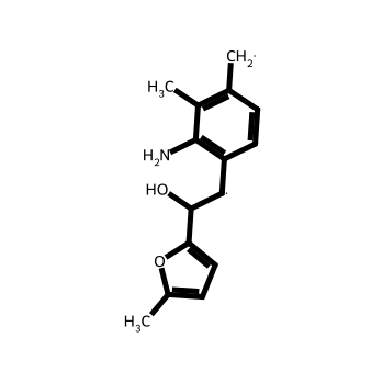 [CH2]c1ccc([CH]C(O)c2ccc(C)o2)c(N)c1C